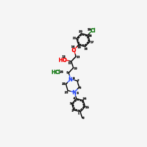 Cc1ccc(N2CCN(CCC(O)COc3ccc(Cl)cc3)CC2)cc1.Cl